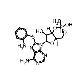 B[PH]1(O)OC[C@H]2O[C@@H](n3c(Sc4ccccc4N)nc4c(N)ncnc43)C(O)[C@@H]2O1